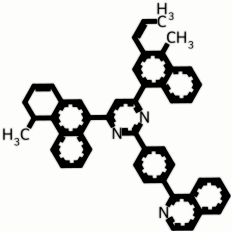 C/C=C\c1cc(-c2cc(-c3cc4c(c5ccccc35)C(C)CC=C4)nc(-c3ccc(-c4nccc5ccccc45)cc3)n2)c2ccccc2c1C